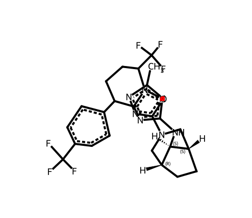 Cc1nnc(N2C[C@H]3CC[C@@H](C2)[C@@H]3Nc2nc3n(n2)C(C(F)(F)F)CCC3c2ccc(C(F)(F)F)cc2)o1